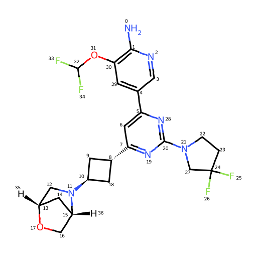 Nc1ncc(-c2cc([C@H]3C[C@H](N4C[C@@H]5C[C@H]4CO5)C3)nc(N3CCC(F)(F)C3)n2)cc1OC(F)F